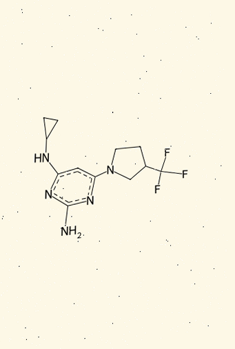 Nc1nc(NC2CC2)cc(N2CCC(C(F)(F)F)C2)n1